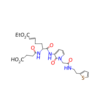 CCOC(=O)C=CCCC(NC(=O)CCC(=O)O)C(=O)Nc1cccn(CC(=O)NCCc2cccs2)c1=O